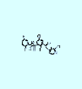 O=C(Cc1ccnc(Cl)n1)c1cc(Cl)cc(NS(=O)(=O)c2cc(F)ccc2F)c1F